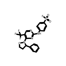 O=S(=O)(F)c1ccc(Nc2ncc(C(F)(F)F)c(N3OCCC3c3ccccc3)n2)cc1